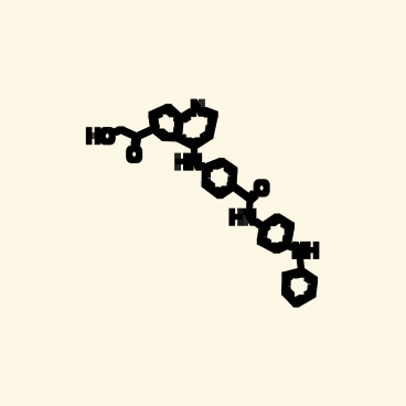 O=C(CO)c1ccc2nccc(Nc3ccc(C(=O)Nc4ccc(Nc5ccccc5)cc4)cc3)c2c1